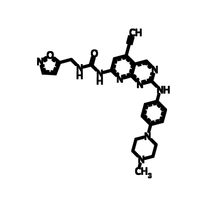 C#Cc1cc(NC(=O)NCc2ccno2)nc2nc(Nc3ccc(N4CCN(C)CC4)cc3)ncc12